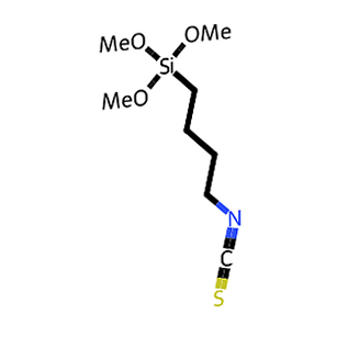 CO[Si](CCCCN=C=S)(OC)OC